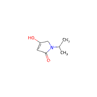 CC(C)N1CC(O)=CC1=O